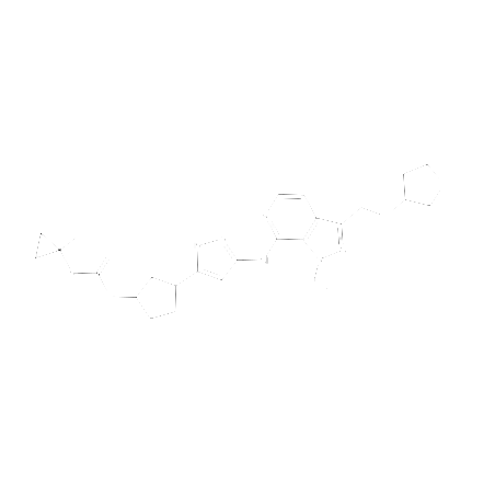 Cn1nc(COC2CCOC2)c2ccnc(Nc3cc(C4CCC(OC(=O)NC5(C)CC5)C4)[nH]n3)c21